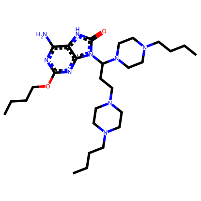 CCCCOc1nc(N)c2[nH]c(=O)n(C(CCN3CCN(CCCC)CC3)N3CCN(CCCC)CC3)c2n1